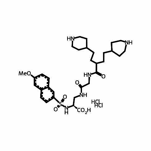 COc1ccc2cc(S(=O)(=O)N[C@@H](CNC(=O)CNC(=O)C(CCC3CCNCC3)CCC3CCNCC3)C(=O)O)ccc2c1.Cl.Cl